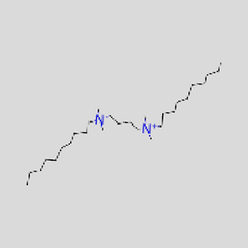 CCCCCCCCCC[N+](C)(C)CCCC[N+](C)(C)CCCCCCCCCC